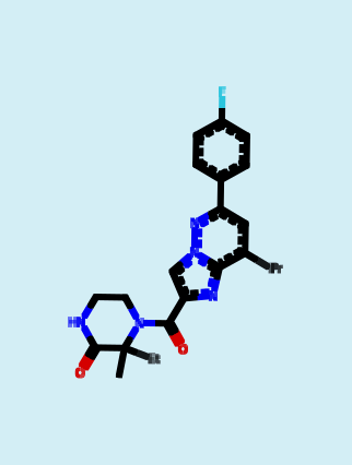 CCC1(C)C(=O)NCCN1C(=O)c1cn2nc(-c3ccc(F)cc3)cc(C(C)C)c2n1